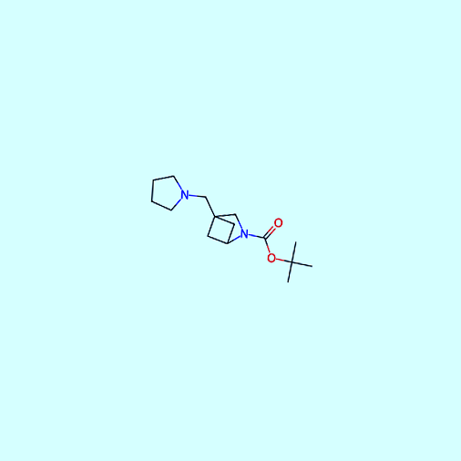 CC(C)(C)OC(=O)N1CC2(CN3CCCC3)CC1C2